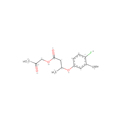 COc1cc(OC(C)CC(=O)OCC(=O)C(=O)O)ccc1F